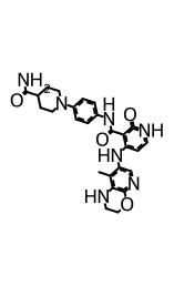 Cc1c(Nc2cc[nH]c(=O)c2C(=O)Nc2ccc(N3CCC(C(N)=O)CC3)cc2)cnc2c1NCCO2